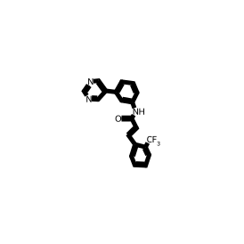 O=C(C=Cc1ccccc1C(F)(F)F)Nc1cccc(-c2cncnc2)c1